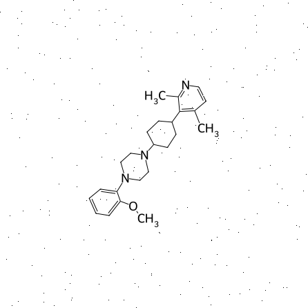 COc1ccccc1N1CCN(C2CCC(c3c(C)ccnc3C)CC2)CC1